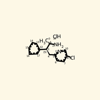 C[C@H](N)[C@@H](Cc1ccc(Cl)cn1)c1ccccc1.Cl